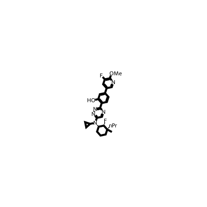 CCC[C@]1(C)CCC[C@H](N(c2cnc(-c3ccc(-c4cnc(OC)c(F)c4)cc3O)nn2)C2CC2)[C@@H]1F